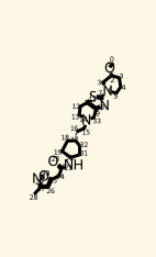 COC1CCCN(c2nc3c(s2)CCN(CC[C@H]2CC[C@H](NC(=O)Cc4cc(C)no4)CC2)C3)C1